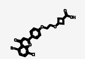 O=C(O)C1CC(OCCOc2ccc(-c3cc(=O)c4c(Br)ccc(Cl)c4o3)cc2)C1